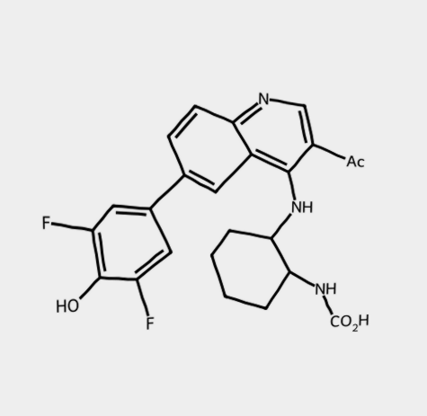 CC(=O)c1cnc2ccc(-c3cc(F)c(O)c(F)c3)cc2c1NC1CCCCC1NC(=O)O